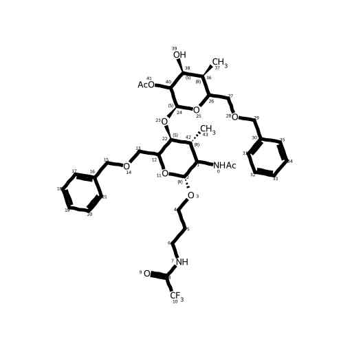 CC(=O)NC1[C@H](OCCCNC(=O)C(F)(F)F)OC(COCc2ccccc2)[C@@H](O[C@@H]2OC(COCc3ccccc3)[C@H](C)[C@H](O)C2OC(C)=O)[C@@H]1C